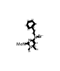 CNc1nc(N(C)CCc2ccccc2)cc(C)[n+]1C.[Br-]